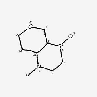 CN1CC[S+]([O-])C2COCCC21